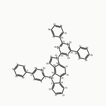 c1ccc(-c2ccc(-n3c4ccccc4c4ccc5c(ccn5-c5nc(-c6ccccc6)nc(-c6ccccc6)n5)c43)nc2)cc1